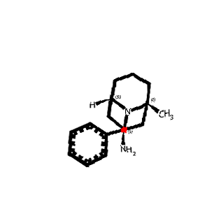 C[C@@]12CCC[C@@H](C[C@H](N)C1)N2Cc1ccccc1